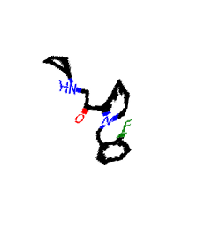 O=C(CNC1CC1)c1cccn1Cc1ccccc1F